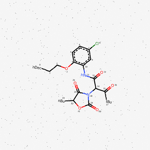 CCCCCCCCCCCCOc1ccc(Cl)cc1NC(=O)C(C(=O)C(C)(C)C)N1C(=O)OC(CCCC)C1=O